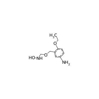 CCOc1ccc(N)cc1COCNO